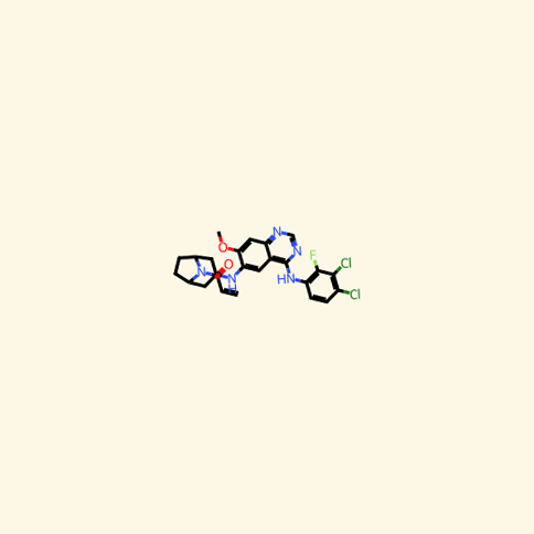 C=CC(=O)N1C2CCC1CC(Nc1cc3c(Nc4ccc(Cl)c(Cl)c4F)ncnc3cc1OC)C2